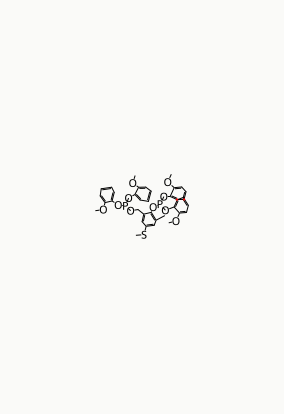 COc1ccccc1OP(OCc1cc(SC)cc(C)c1OP(Oc1ccccc1OC)Oc1ccccc1OC)Oc1ccccc1OC